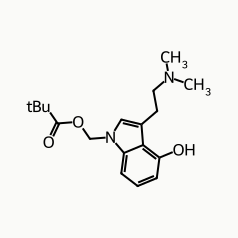 CN(C)CCc1cn(COC(=O)C(C)(C)C)c2cccc(O)c12